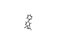 NC1(F)C=CC(c2ccccc2)C=C1